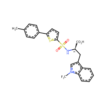 Cc1ccc(-c2ccc(S(=O)(=O)N[C@H](Cc3cn(C(F)(F)F)c4ccccc34)C(=O)O)s2)cc1